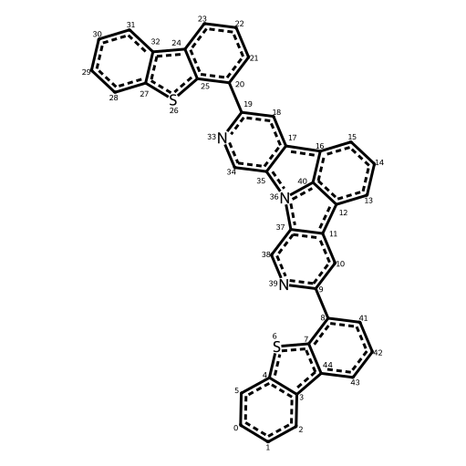 c1ccc2c(c1)sc1c(-c3cc4c5cccc6c7cc(-c8cccc9c8sc8ccccc89)ncc7n(c4cn3)c56)cccc12